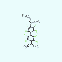 CCCC(C)c1c(F)c(F)c(-c2c(F)c(F)c(C(C)C)c(F)c2F)c(F)c1F